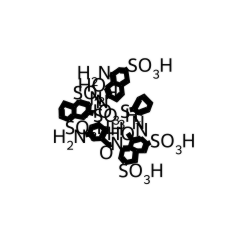 Nc1cc(S(=O)(=O)O)cc2ccc(N=Nc3c(S(=O)(=O)O)cc4c(S(=O)(=O)O)cccc4c3S(=O)(=O)O)c(O)c12.Nc1cccc(C(=O)Nc2cc(S(=O)(=O)O)cc3cc(S(=O)(=O)O)c(N=Nc4ccccc4S(=O)(=O)O)c(O)c23)c1